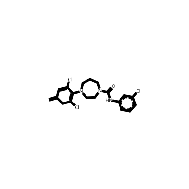 C=C1C=C(Cl)C(N2CCCN(C(=O)Nc3cccc(Cl)c3)CC2)=C(Cl)C1